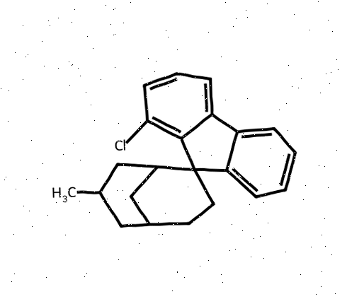 CC1CC2CCC3(c4ccccc4-c4cccc(Cl)c43)C(C1)C2